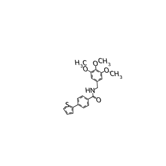 COc1cc(CNC(=O)c2ccc(-c3cccs3)cc2)cc(OC)c1OC